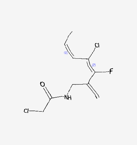 C=C(CNC(=O)CCl)/C(F)=C(Cl)\C=C/C